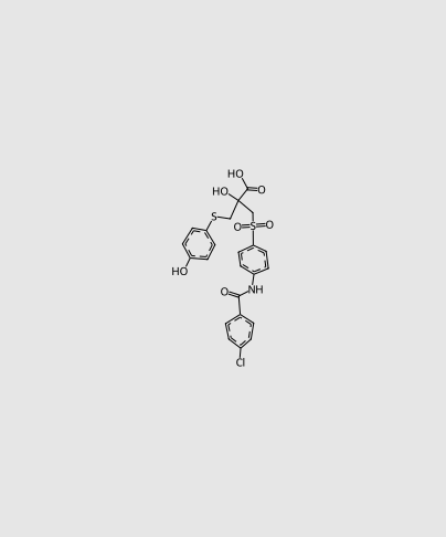 O=C(Nc1ccc(S(=O)(=O)CC(O)(CSc2ccc(O)cc2)C(=O)O)cc1)c1ccc(Cl)cc1